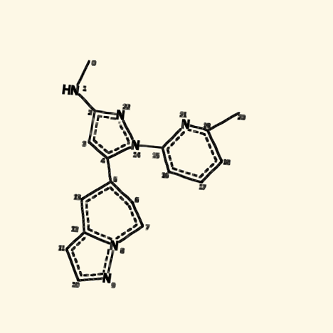 CNc1cc(-c2ccn3nccc3c2)n(-c2cccc(C)n2)n1